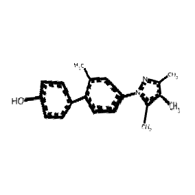 Cc1cc(-n2nc(C)c(C)c2C)ccc1-c1ccc(O)cc1